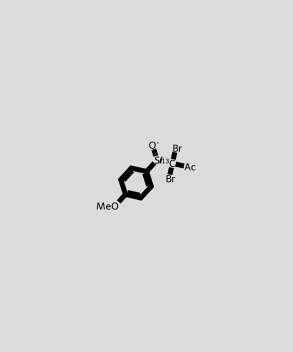 COc1ccc([S+]([O-])[13C](Br)(Br)[13C](C)=O)cc1